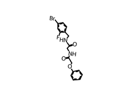 O=C(CNC(=O)COc1ccccc1)NCc1ccc(Br)cc1F